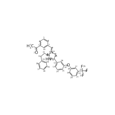 CC(=O)c1cccc(C=[N+]2SC(c3cccc(Oc4cccc(C(F)(F)F)c4)c3)NN2CCc2ccccc2)c1